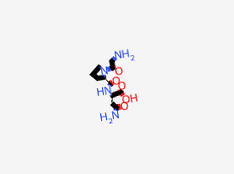 NCC(=O)N1CCC[C@H]1C(=O)N[C@@H](CC(N)=O)C(=O)O